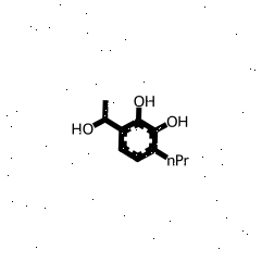 CCCc1ccc(C(C)O)c(O)c1O